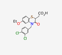 CCOc1ccc2c(c1)N(Cc1ccc(Cl)c(Cl)c1)C(=O)C(CC(=O)O)S2